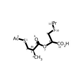 CC(=O)SC[C@H](C)C(=O)OC(CSC(C)C)C(=O)O